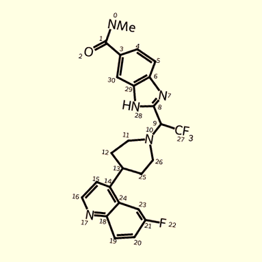 CNC(=O)c1ccc2nc(C(N3CCC(c4ccnc5ccc(F)cc45)CC3)C(F)(F)F)[nH]c2c1